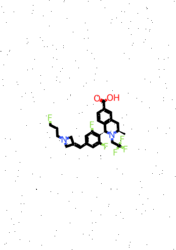 C[C@@H]1Cc2cc(C(=O)O)ccc2[C@@H](c2c(F)cc(C=C3CN(CCCF)C3)cc2F)N1CC(F)(F)F